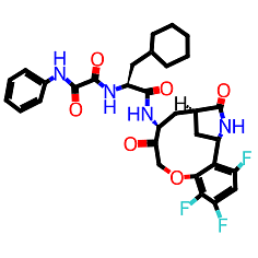 O=C(Nc1ccccc1)C(=O)N[C@@H](CC1CCCCC1)C(=O)N[C@H]1C[C@@H]2CC(NC2=O)c2c(F)cc(F)c(F)c2OCC1=O